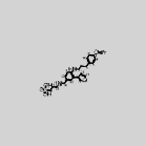 CC(C)Oc1ccc(CCCNc2ccc(CNCCCP(=O)(O)O)cc2-c2ccoc2)cc1